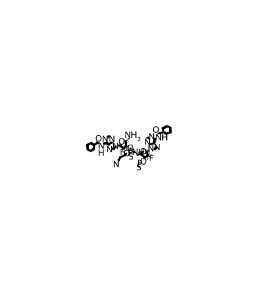 N#CCCOP(=S)(NC[C@H]1O[C@@H](n2cnc3c(NC(=O)c4ccccc4)ncnc32)[C@H](F)[C@@H]1OP=S)O[C@H]1[C@@H](F)[C@H](n2cnc3c(NC(=O)c4ccccc4)ncnc32)O[C@@H]1CN